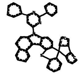 c1ccc(-c2cc(-n3c4ccc5c(c4c4c6ccccc6ccc43)Sc3ccccc3C53c4ccccc4-c4ccccc43)nc(-c3ccccc3)n2)cc1